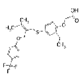 CCc1cc(SCC(COc2ccc(C(F)(F)F)cc2)=C(C)C)ccc1OCC(=O)O